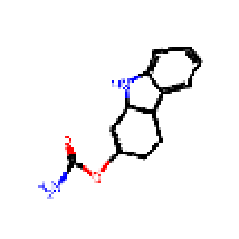 NC(=O)OC1CCC2c3ccccc3NC2C1